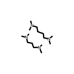 CN(C)CCCCN(C)C.CN(C)CCCN(C)C